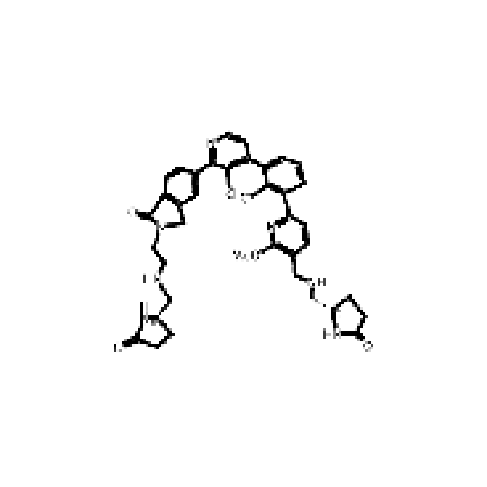 COc1nc(-c2cccc(-c3ccnc(-c4ccc5c(c4)CN(CCNC[C@H]4CCC(=O)N4)C5=O)c3Cl)c2Cl)ccc1CNC[C@@H]1CCC(=O)N1